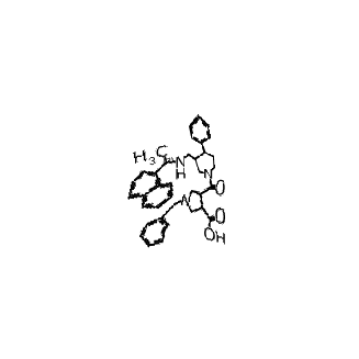 C[C@@H](NCC1CN(C(=O)C2CN(Cc3ccccc3)CC2C(=O)O)CCC1c1ccccc1)c1cccc2ccccc12